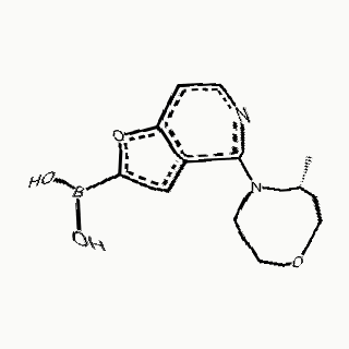 C[C@@H]1COCCN1c1nccc2oc(B(O)O)cc12